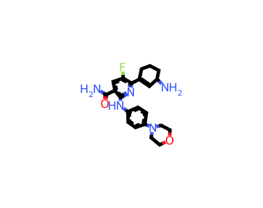 NC(=O)c1cc(F)c(C2=CC(N)CCC2)nc1Nc1ccc(N2CCOCC2)cc1